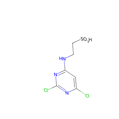 O=S(=O)(O)CCNc1cc(Cl)nc(Cl)n1